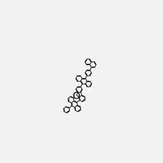 c1ccc(-c2c3ccccc3c(-c3cccc4c3oc3ccc(-c5c6ccccc6c(-c6ccc(-c7cccc8ccccc78)cc6)c6ccccc56)cc34)c3ccccc23)cc1